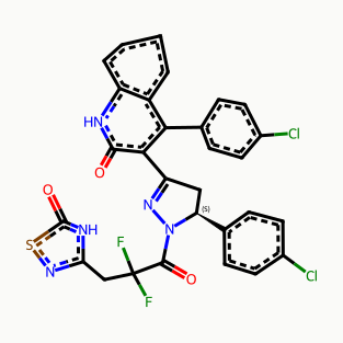 O=C(N1N=C(c2c(-c3ccc(Cl)cc3)c3ccccc3[nH]c2=O)C[C@H]1c1ccc(Cl)cc1)C(F)(F)Cc1nsc(=O)[nH]1